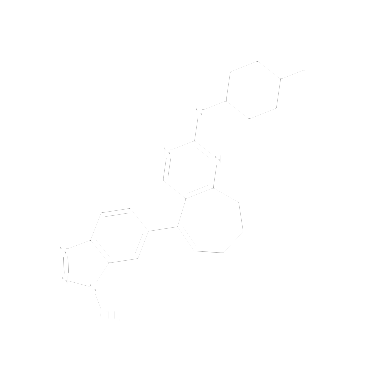 CC1CCC(Nc2ncc3c(n2)CCCC=C3c2ccc3nnn(C)c3c2)CC1